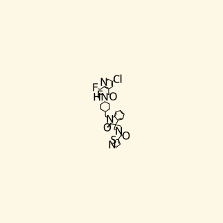 O=C(NC1CCC(CN2C(=O)C3(CN(C(=O)c4ccns4)C3)c3ccccc32)CC1)c1cc(Cl)cnc1C(F)F